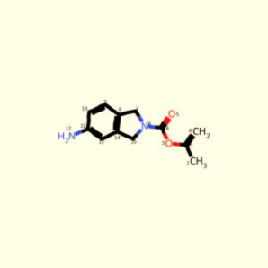 C=C(C)OC(=O)N1Cc2ccc(N)cc2C1